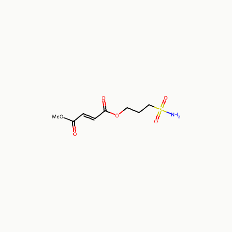 COC(=O)/C=C/C(=O)OCCCS(N)(=O)=O